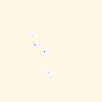 C[C@@H]1CCC[N+]1(C(=O)Nc1ccccc1-n1cccc1)C(=O)c1cc(-c2ccc(F)cc2)n[nH]1